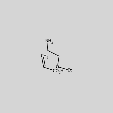 C=CC(=O)O.CCOCCN